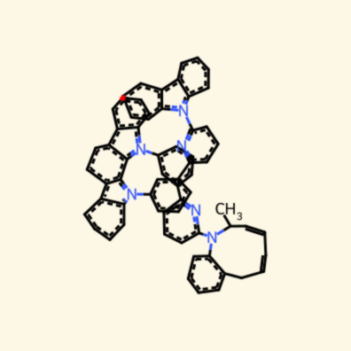 CC1/C=C\C=C/Cc2ccccc2N1c1cccc(-c2cccc(-n3c4ccccc4c4ccc5c6ccccc6n(-c6cccc(-c7cccc(-n8c9ccccc9c9ccccc98)n7)c6)c5c43)c2)n1